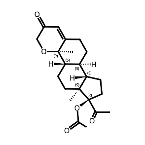 CC(=O)O[C@]1(C(C)=O)CC[C@H]2[C@@H]3CCC4=CC(=O)CO[C@]4(C)[C@H]3CC[C@@]21C